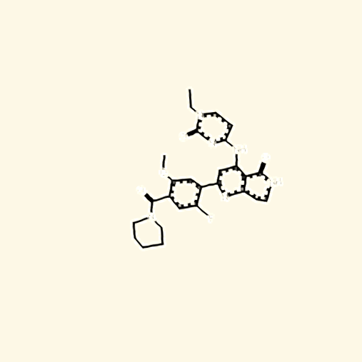 CCn1ccc(Nc2cc(-c3cc(OC)c(C(=O)N4CCCCC4)cc3F)nc3cc[nH]c(=O)c23)nc1=O